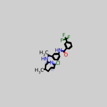 CC1\C=C(N[C@@H](C)c2cccc(NC(=O)c3cccc(C(F)(F)F)c3)c2)/N=C(Cl)\C=C\C1